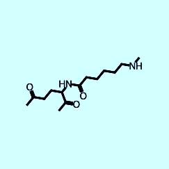 CNCCCCCC(=O)NC(CCC(C)=O)C(C)=O